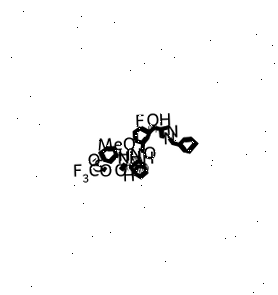 COc1cc(F)c([C@H](O)c2cnn(Cc3ccccc3)c2)cc1C(=O)N[C@H]1[C@@H](C(=O)Nc2cccc(S(=O)(=O)C(F)(F)F)c2)[C@@H]2C=C[C@H]1C2